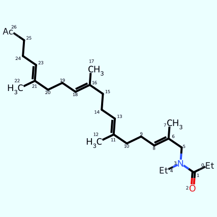 CCC(=O)N(CC)CC(C)=CCCC(C)=CCCC(C)=CCCC(C)=CCCC(C)=O